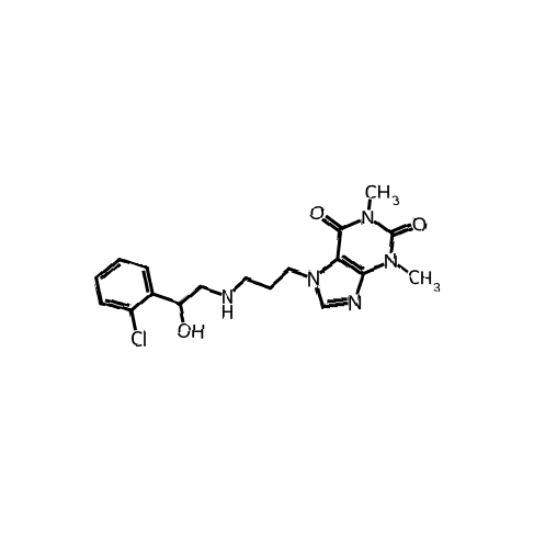 Cn1c(=O)c2c(ncn2CCCNCC(O)c2ccccc2Cl)n(C)c1=O